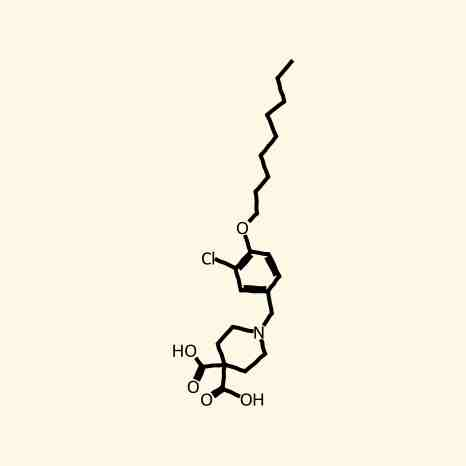 CCCCCCCCCOc1ccc(CN2CCC(C(=O)O)(C(=O)O)CC2)cc1Cl